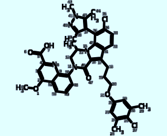 COc1cc(C(=O)O)nc2c(N3CC(C)n4c(c(CCCOc5cc(C)c(Cl)c(C)c5)c5ccc(Cl)c(-c6c(C)nn(C)c6C)c54)C3=O)cccc12